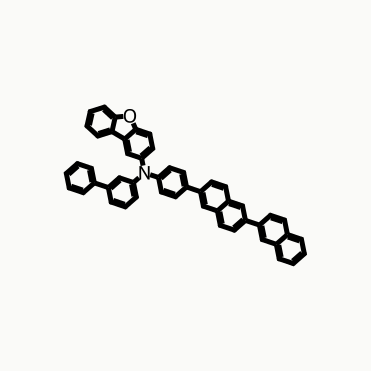 c1ccc(-c2cccc(N(c3ccc(-c4ccc5cc(-c6ccc7ccccc7c6)ccc5c4)cc3)c3ccc4oc5ccccc5c4c3)c2)cc1